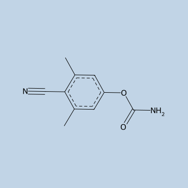 Cc1cc(OC(N)=O)cc(C)c1C#N